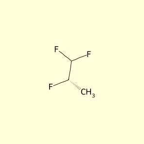 C[C@H](F)C(F)F